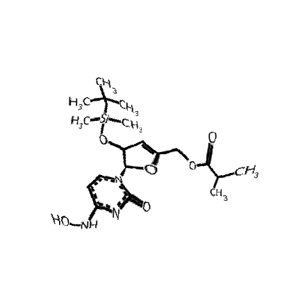 CC(C)C(=O)OCC1=CC(O[Si](C)(C)C(C)(C)C)[C@H](n2ccc(NO)nc2=O)O1